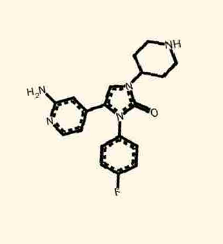 Nc1cc(-c2cn(C3CCNCC3)c(=O)n2-c2ccc(F)cc2)ccn1